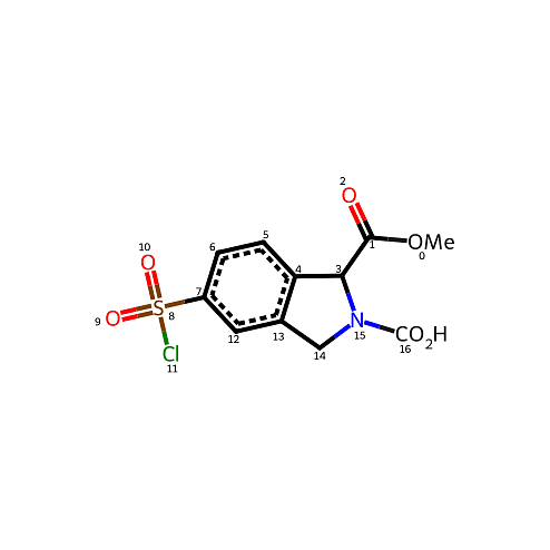 COC(=O)C1c2ccc(S(=O)(=O)Cl)cc2CN1C(=O)O